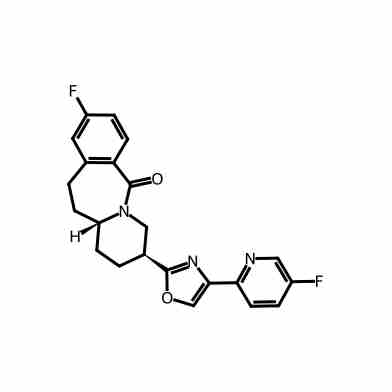 O=C1c2ccc(F)cc2CC[C@H]2CC[C@H](c3nc(-c4ccc(F)cn4)co3)CN12